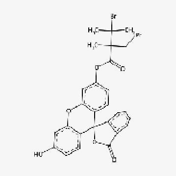 CC(C)CC(C)(C(=O)Oc1ccc2c(c1)Oc1cc(O)ccc1C21OC(=O)c2ccccc21)C(C)(C)Br